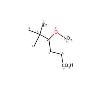 CC(C)C(C)(C)C(CCC(=O)O)O[N+](=O)[O-]